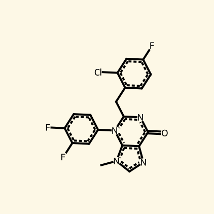 Cn1cnc2c(=O)nc(Cc3ccc(F)cc3Cl)n(-c3ccc(F)c(F)c3)c21